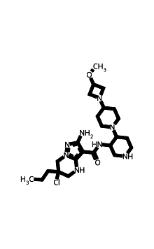 CCCC1(Cl)CNc2c(C(=O)NC3CNCCC3N3CCC(N4CC(OC)C4)CC3)c(N)nn2C1